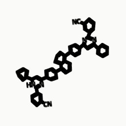 N#Cc1cccc(C2=NC(c3ccc(-c4cccc5c(-c6ccc(-c7cc(-c8ccccc8)nc(-c8cccc(C#N)c8)n7)cc6)cccc45)cc3)=CC(c3ccccc3)N2)c1